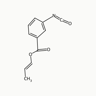 CC=COC(=O)c1cccc(N=C=O)c1